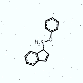 C1=CC([SiH2]Oc2ccccc2)c2ccccc21